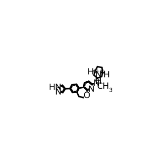 CN(c1ccc2c(n1)OCCc1cc(-c3cn[nH]c3)ccc1-2)[C@@H]1C[C@H]2CC[C@@H](C1)N2